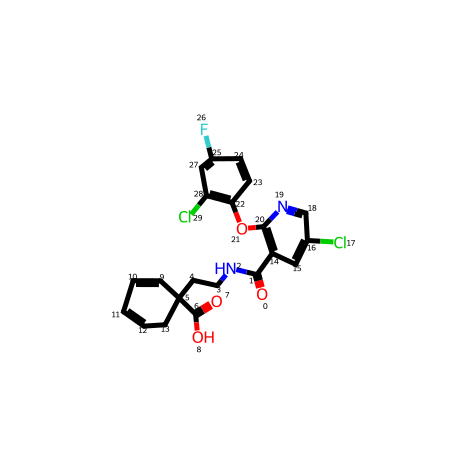 O=C(NCCC1(C(=O)O)C=CC=CC1)c1cc(Cl)cnc1Oc1ccc(F)cc1Cl